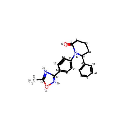 O=C1CCCC(c2ccccc2)N1c1ccc(-c2noc(C(F)(F)F)n2)cc1